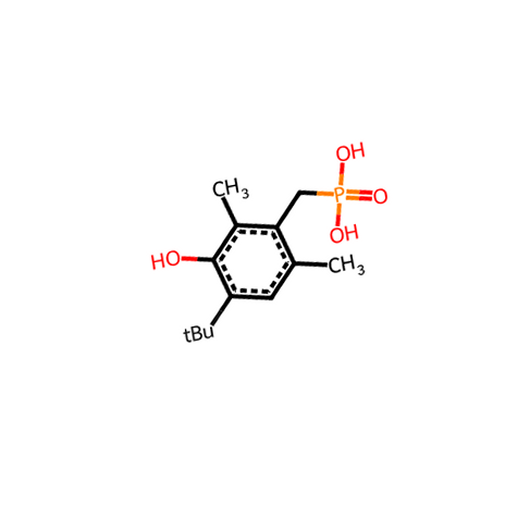 Cc1cc(C(C)(C)C)c(O)c(C)c1CP(=O)(O)O